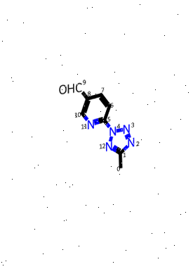 Cc1nnn(-c2ccc(C=O)cn2)n1